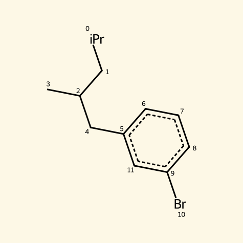 CC(C)CC(C)Cc1cccc(Br)c1